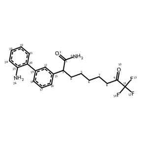 NC(=O)C(CCCCCC(=O)C(F)(F)F)c1cccc(-c2ccccc2N)c1